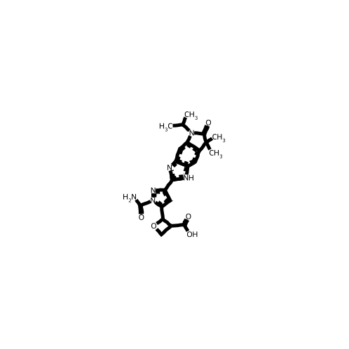 CC(C)N1C(=O)C(C)(C)c2cc3[nH]c(-c4[c]c(C5OCC5C(=O)O)n(C(N)=O)n4)nc3cc21